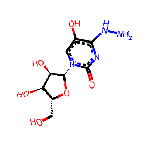 NNc1nc(=O)n([C@@H]2O[C@H](CO)[C@@H](O)[C@H]2O)cc1O